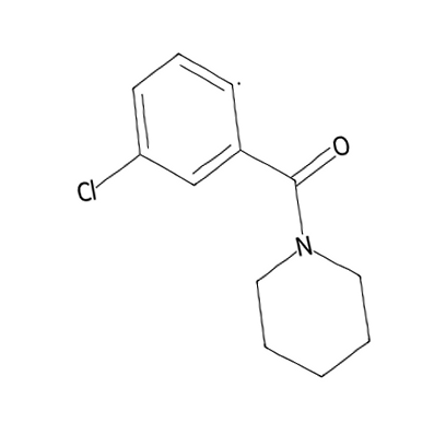 O=C(c1[c]ccc(Cl)c1)N1CCCCC1